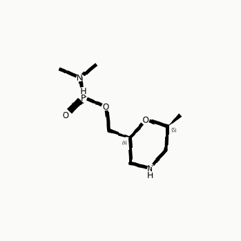 C[C@H]1CNC[C@@H](CO[PH](=O)N(C)C)O1